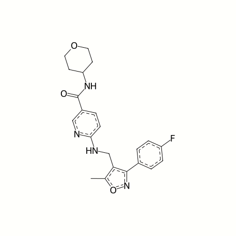 Cc1onc(-c2ccc(F)cc2)c1CNc1ccc(C(=O)NC2CCOCC2)cn1